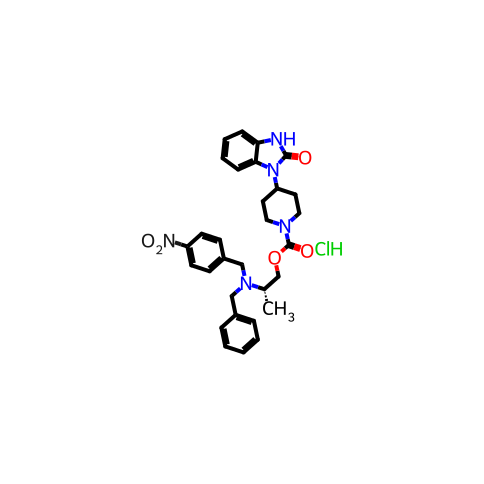 C[C@@H](COC(=O)N1CCC(n2c(=O)[nH]c3ccccc32)CC1)N(Cc1ccccc1)Cc1ccc([N+](=O)[O-])cc1.Cl